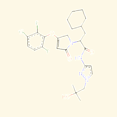 CC(C)(O)Cn1ccc(NC(=O)C(CC2CCCCC2)N2CC(Oc3c(F)ccc(Cl)c3F)=CC2=O)n1